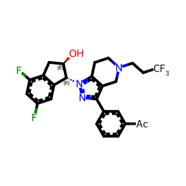 CC(=O)c1cccc(-c2nn([C@@H]3c4cc(F)cc(F)c4C[C@H]3O)c3c2CN(CCC(F)(F)F)CC3)c1